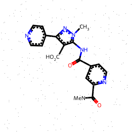 CNC(=O)c1cc(C(=O)Nc2c(C(=O)O)c(-c3ccncc3)nn2C)ccn1